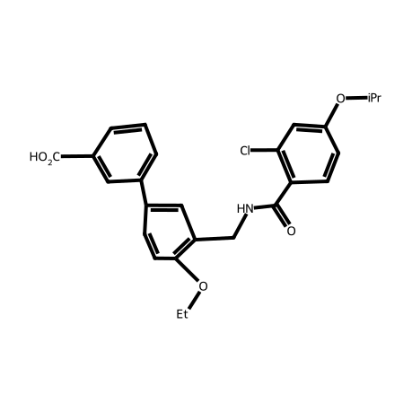 CCOc1ccc(-c2cccc(C(=O)O)c2)cc1CNC(=O)c1ccc(OC(C)C)cc1Cl